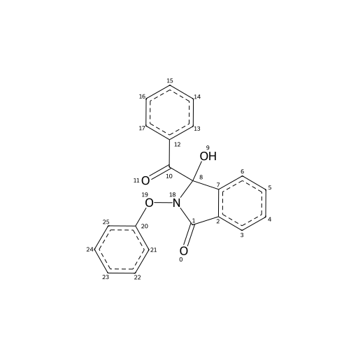 O=C1c2ccccc2C(O)(C(=O)c2ccccc2)N1Oc1ccccc1